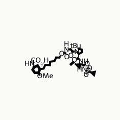 C=C[C@@H]1C[C@]1(NC(=O)[C@@H]1CCCN1C(=O)[C@@H](NC(=O)OCCCCCCCc1cc(NC(=O)O)ccc1OC)C(C)(C)C)C(=O)NS(=O)(=O)C1CC1